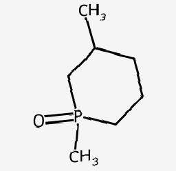 CC1CCCP(C)(=O)C1